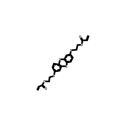 C=CC(=O)OCCSc1ccc2c(c1)Sc1ccc(SCCOC(=O)C=C)cc1S2